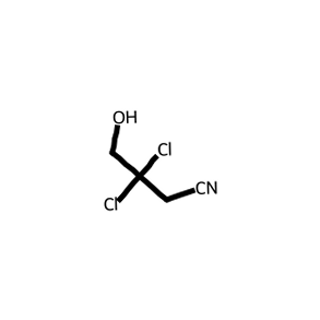 N#CCC(Cl)(Cl)CO